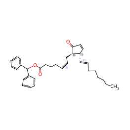 CCCCCC/C=C/[C@H]1C=CC(=O)[C@@H]1C/C=C\CCCC(=O)OC(c1ccccc1)c1ccccc1